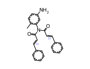 Cc1ccc(N)cc1N(C(=O)/C=C/c1ccccc1)C(=O)/C=C/c1ccccc1